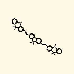 CN1c2ccccc2C(C)(C)c2ccc(/C=C/c3ccc4c(c3)C(C)(C)c3cc(/C=C/c5ccc6c(c5)N(C)c5ccccc5C6(C)C)ccc3-4)cc21